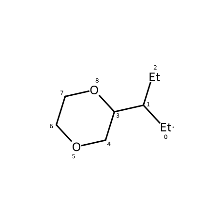 C[CH]C(CC)C1COCCO1